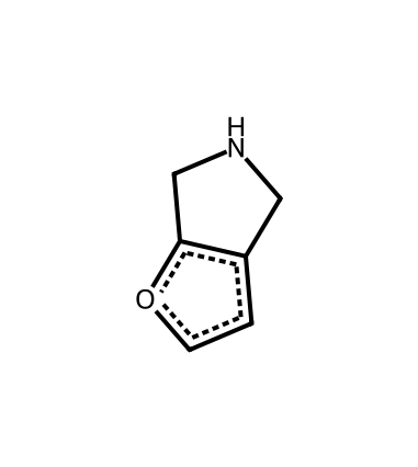 c1cc2c(o1)CNC2